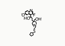 COc1ccc2ncc(F)c([C@@H](O)CCC3(CO)CCN(CCSC4CCCC4)CC3)c2c1